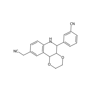 N#CCc1ccc2c(c1)C1OCCOC1C(c1cccc(C#N)c1)N2